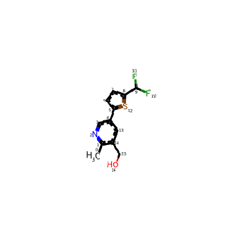 Cc1ncc(-c2ccc(C(F)F)s2)cc1CO